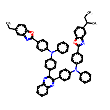 CCc1ccc2oc(-c3ccc(N(c4ccccc4)c4ccc(-c5nc6ccccc6nc5-c5ccc(N(c6ccccc6)c6ccc(-c7nc8cc(C(C)CC)ccc8o7)cc6)cc5)cc4)cc3)nc2c1